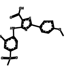 COc1ccc(-c2nc(Nc3ccc(S(C)(=O)=O)cc3Cl)c(C(=O)O)s2)cc1